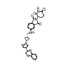 O=C1CCC(N2C(=O)c3ccc(NC[C@H]4C[C@H](n5cc(-c6cnc7ccccc7n6)cn5)C4)cc3C2=O)C(=O)N1